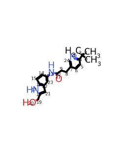 CC(C)(C)c1ccc(CCC(=O)Nc2ccc3[nH]c(CO)cc3c2)cn1